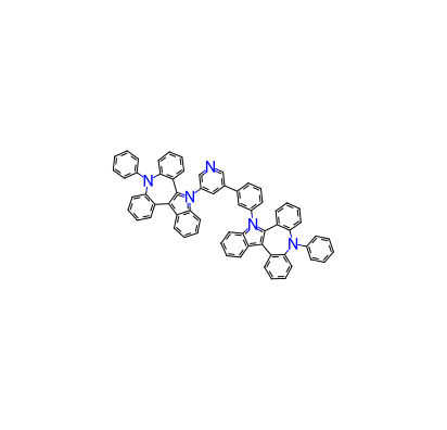 c1ccc(N2c3ccccc3-c3c(n(-c4cccc(-c5cncc(-n6c7c(c8ccccc86)-c6ccccc6N(c6ccccc6)c6ccccc6-7)c5)c4)c4ccccc34)-c3ccccc32)cc1